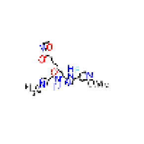 COc1cc(-c2cnc(C(CCCCCC(=O)c3ncco3)NC(=O)C3CN(C)C3)[nH]2)c(F)cn1